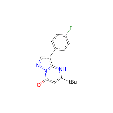 CC(C)(C)c1cc(=O)n2ncc(-c3ccc(F)cc3)c2[nH]1